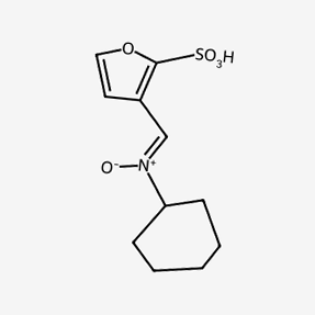 O=S(=O)(O)c1occc1C=[N+]([O-])C1CCCCC1